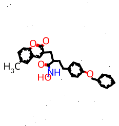 Cc1ccc2oc(=O)c(CC(CCc3ccc(OCc4ccccc4)cc3)C(=O)NO)cc2c1